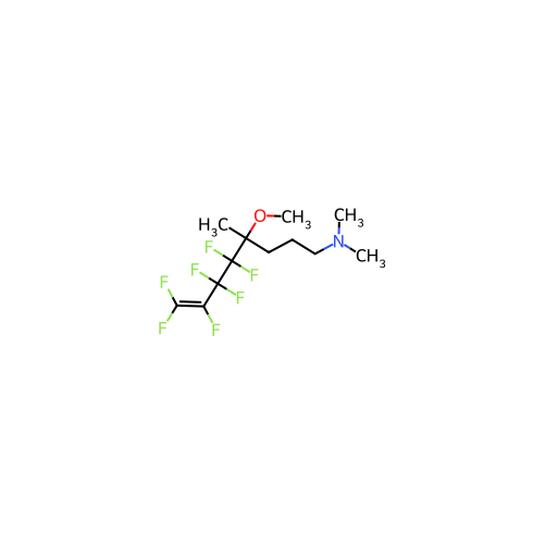 COC(C)(CCCN(C)C)C(F)(F)C(F)(F)C(F)=C(F)F